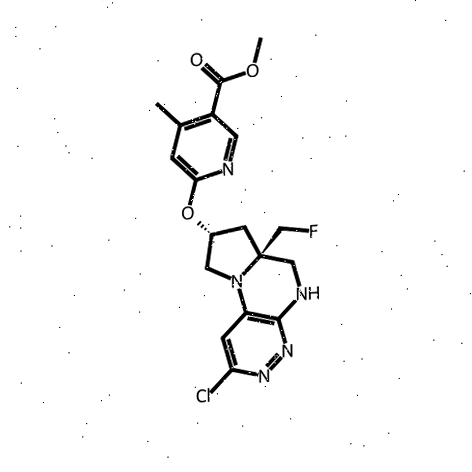 COC(=O)c1cnc(O[C@H]2CN3c4cc(Cl)nnc4NC[C@@]3(CF)C2)cc1C